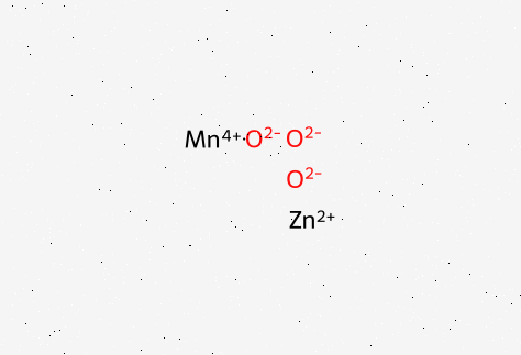 [Mn+4].[O-2].[O-2].[O-2].[Zn+2]